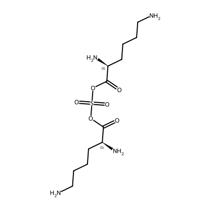 NCCCC[C@H](N)C(=O)OS(=O)(=O)OC(=O)[C@@H](N)CCCCN